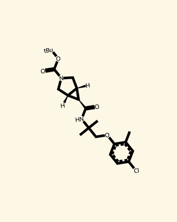 Cc1cc(Cl)ccc1OCC(C)(C)NC(=O)[C@H]1[C@@H]2CN(C(=O)OC(C)(C)C)C[C@@H]21